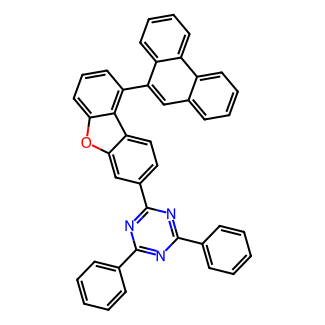 c1ccc(-c2nc(-c3ccccc3)nc(-c3ccc4c(c3)oc3cccc(-c5cc6ccccc6c6ccccc56)c34)n2)cc1